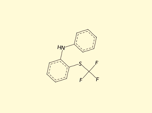 FC(F)(F)Sc1ccccc1Nc1ccccc1